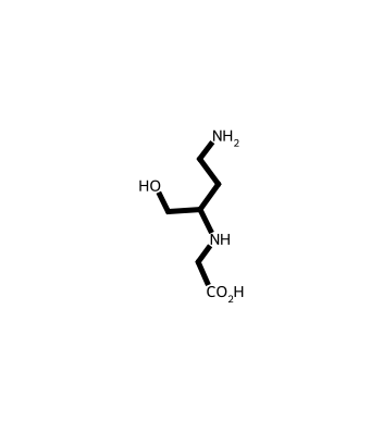 NCCC(CO)NCC(=O)O